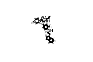 CCC(=O)N[C@H](Cc1ccc(NC(=O)C[C@@H]2CCc3ccccc32)c(F)c1)C(=O)N1CCN(C)CC1